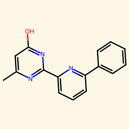 Cc1cc(O)nc(-c2cccc(-c3ccccc3)n2)n1